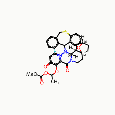 COC(=O)OC(C)Oc1c2n(ccc1=O)N(C1c3ccccc3SCc3cccc(F)c31)[C@@H]1[C@H]3C[C@@H]4CC[C@@]3(CCN1C2=O)O4